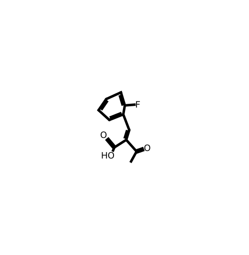 CC(=O)C(=Cc1ccccc1F)C(=O)O